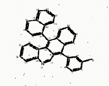 Cc1cccc(-c2c3ccccc3c(-c3cccc4ccccc34)c3c2cnc2ccccc23)c1